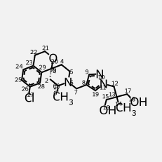 C[C@H]1C[C@@]2(CCN1Cc1cnn(CC(C)(CO)CO)c1)OCCc1ccc(Cl)cc12